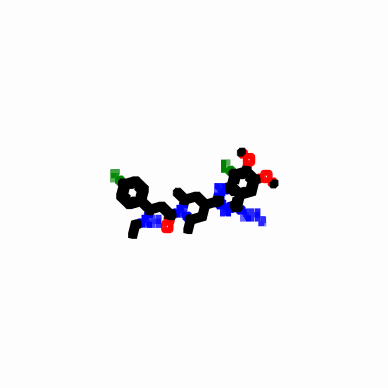 CCNC(CC(=O)N1C(C)CC(c2nc(N)c3cc(OC)c(OC)c(F)c3n2)CC1C)c1ccc(F)cc1